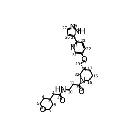 O=C(CC1CCOCC1)NCCC(=O)N1CCC[C@@H](COc2ccc(-c3ccn[nH]3)nc2)C1